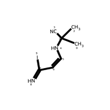 CC(C)(C#N)N/C=C\C(=N)I